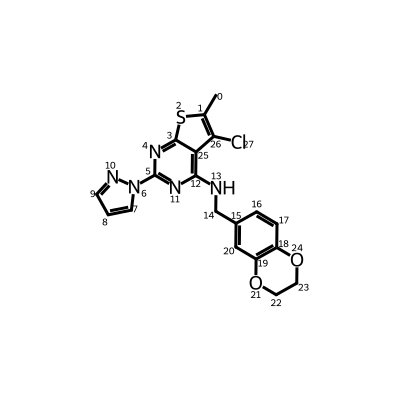 Cc1sc2nc(-n3cccn3)nc(NCc3ccc4c(c3)OCCO4)c2c1Cl